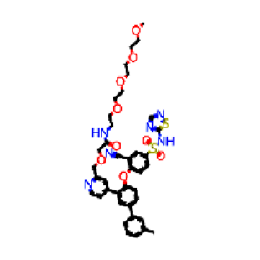 COCCOCCOCCOCCNC(=O)COCc1cc(-c2cc(-c3cccc(C)c3)ccc2Oc2ccc(S(=O)(=O)Nc3ncns3)cc2C#N)ccn1